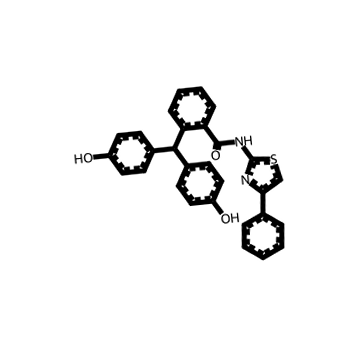 O=C(Nc1nc(-c2ccccc2)cs1)c1ccccc1C(c1ccc(O)cc1)c1ccc(O)cc1